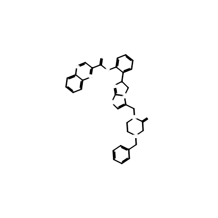 O=C(Nc1ccccc1C1CN2C(CN3CCN(Cc4ccccc4)CC3=O)=CSC2=N1)c1cnc2ccccc2n1